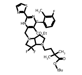 CCOC(=O)C1=C(CN2CC(F)(F)C3C2CCN3CCC(C)(C)C(=O)OC(C)(C)C)NC(c2nccs2)=N[C@H]1c1cccc(F)c1C